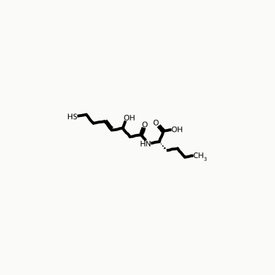 CCCC[C@H](NC(=O)CC(O)/C=C/CCS)C(=O)O